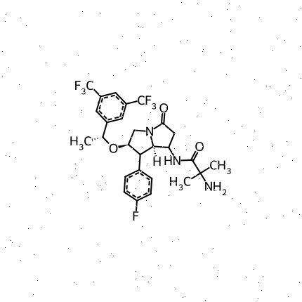 C[C@@H](O[C@H]1CN2C(=O)CC(NC(=O)C(C)(C)N)[C@H]2C1c1ccc(F)cc1)c1cc(C(F)(F)F)cc(C(F)(F)F)c1